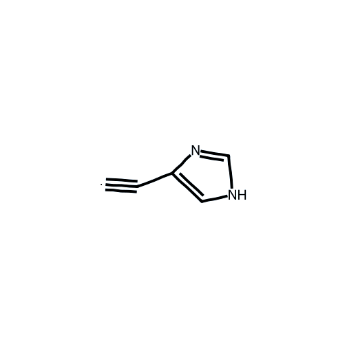 [C]#Cc1c[nH]cn1